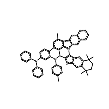 Cc1ccc(N2B3c4sc5cc6c(cc5c4-n4c5cc7ccccc7cc5c5c(C)cc(c3c54)-c3ccc(N(c4ccccc4)c4ccccc4)cc32)C(C)(C)CCC6(C)C)cc1